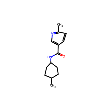 Cc1ccc(C(=O)NC2CCC(C)CC2)cn1